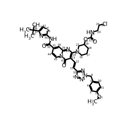 COc1ccc(Cn2nnc(C=Cc3c(N4CCCC(OC(=O)NCCCl)C4)nc4cc(C(=O)Nc5nc(C(C)(C)C)cs5)ccn4c3=O)n2)cc1